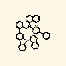 c1ccc(-c2cnc(N(Cc3ccccc3-c3ccc4c5ccccc5n(-c5cccc6ccccc56)c4c3)c3cccc4ccccc34)nc2)cc1